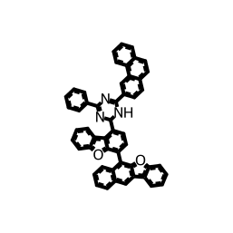 c1ccc(C2=NC(c3ccc(-c4c5ccccc5cc5c4oc4ccccc45)c4oc5ccccc5c34)NC(c3ccc4ccc5ccccc5c4c3)=N2)cc1